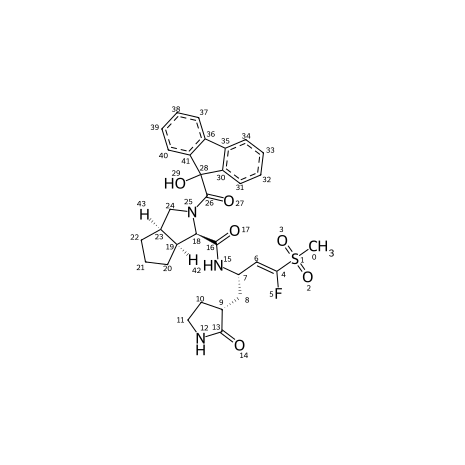 CS(=O)(=O)/C(F)=C/[C@H](C[C@H]1CCNC1=O)NC(=O)[C@H]1[C@H]2CCC[C@H]2CN1C(=O)C1(O)c2ccccc2-c2ccccc21